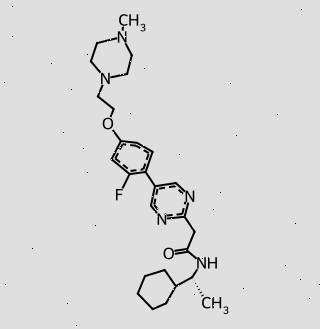 C[C@@H](NC(=O)Cc1ncc(-c2ccc(OCCN3CCN(C)CC3)cc2F)cn1)C1CCCCC1